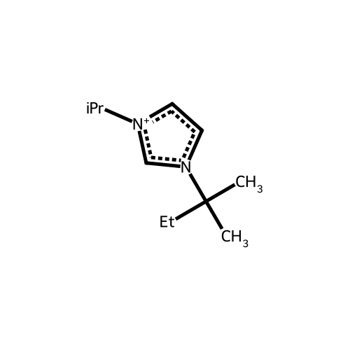 CCC(C)(C)n1cc[n+](C(C)C)c1